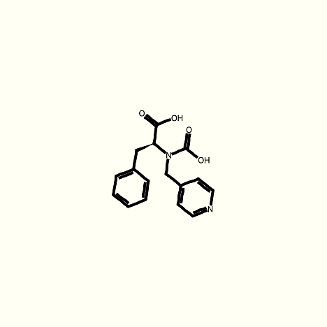 O=C(O)[C@H](Cc1ccccc1)N(Cc1ccncc1)C(=O)O